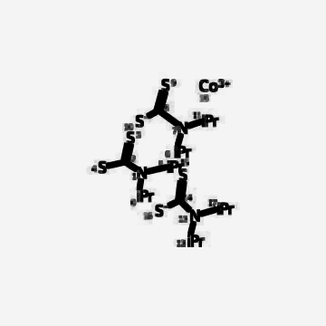 CC(C)N(C(=S)[S-])C(C)C.CC(C)N(C(=S)[S-])C(C)C.CC(C)N(C(=S)[S-])C(C)C.[Co+3]